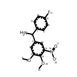 COc1cc(C(N)c2ccc(F)cc2)cc([N+](=O)[O-])c1OC